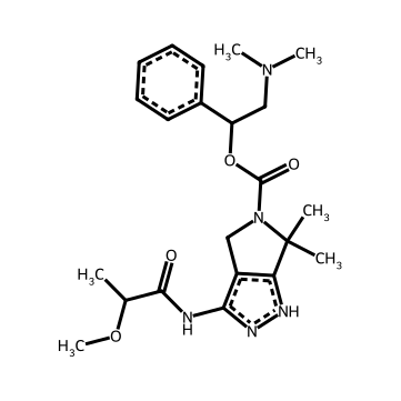 COC(C)C(=O)Nc1n[nH]c2c1CN(C(=O)OC(CN(C)C)c1ccccc1)C2(C)C